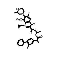 COc1c(N2CCNC(C)C2)c(F)cc2c(=O)c(C(=O)O[C](C)OC(=O)C(C)c3ccc(-c4ccccc4)c(F)c3)cn(C3CC3)c12